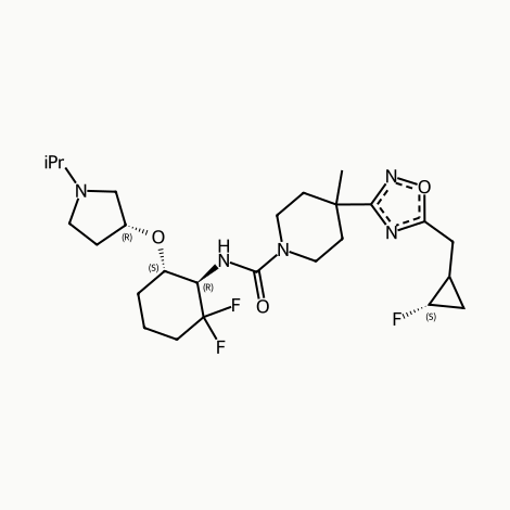 CC(C)N1CC[C@@H](O[C@H]2CCCC(F)(F)[C@@H]2NC(=O)N2CCC(C)(c3noc(CC4C[C@@H]4F)n3)CC2)C1